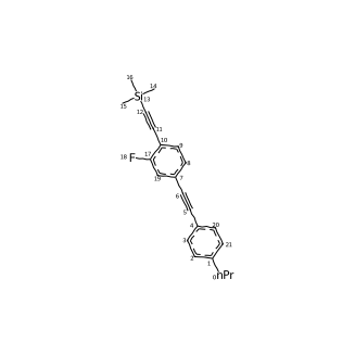 CCCc1ccc(C#Cc2ccc(C#C[Si](C)(C)C)c(F)c2)cc1